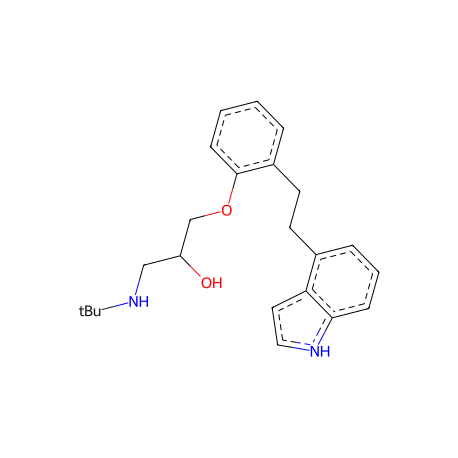 CC(C)(C)NCC(O)COc1ccccc1CCc1cccc2[nH]ccc12